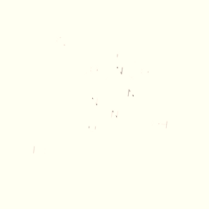 CN1C(=O)C2C(N=C(Oc3cccc(C(F)(F)F)c3)N2Cc2ccc(Cl)cc2)N(CCO)C1=O